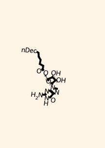 CCCCCCCCCCCCCCCC(=O)OC[C@H]1O[C@@H](n2cnc3c(=O)[nH]c(N)nc32)[C@H](O)[C@@H]1O